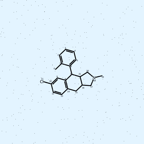 Cc1ccccc1C1c2cc(Cl)ccc2CC2CN(C)CC21